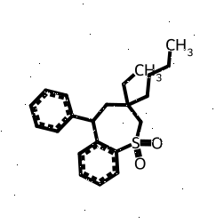 CCCCC1(CC)CC(c2ccccc2)c2ccccc2S(=O)(=O)C1